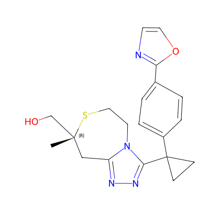 C[C@]1(CO)Cc2nnc(C3(c4ccc(-c5ncco5)cc4)CC3)n2CCS1